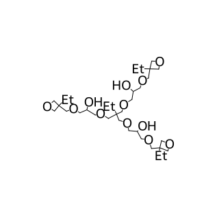 CCC(COCC(O)COCC1(CC)COC1)(COCC(O)COCC1(CC)COC1)COCC(O)COCC1(CC)COC1